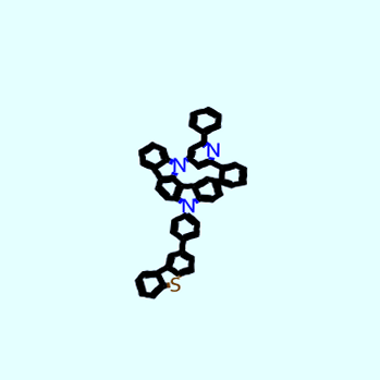 c1ccc(-c2cc(-n3c4ccccc4c4ccc5c(c6ccccc6n5-c5ccc(-c6ccc7sc8ccccc8c7c6)cc5)c43)cc(-c3ccccc3)n2)cc1